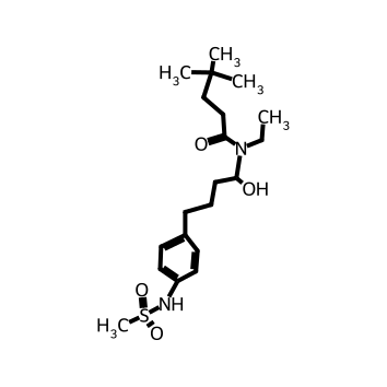 CCN(C(=O)CCC(C)(C)C)C(O)CCCc1ccc(NS(C)(=O)=O)cc1